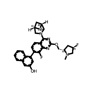 CN1C[C@H](F)C[C@H]1COc1nc(N2C[C@H]3C[C@@H](C2)N3)c2ccc(-c3cc(O)cc4ccccc34)c(F)c2n1